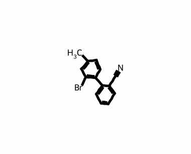 Cc1ccc(-c2ccccc2C#N)c(Br)c1